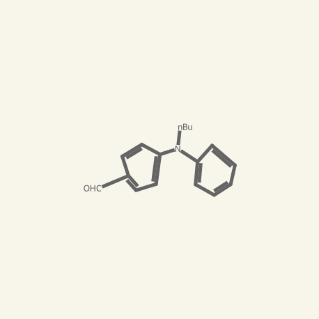 CCCCN(c1ccccc1)c1ccc(C=O)cc1